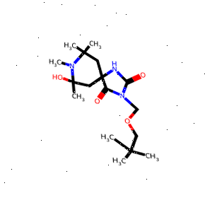 CN1C(C)(C)CC2(CC1(C)O)NC(=O)N(COCC(C)(C)C)C2=O